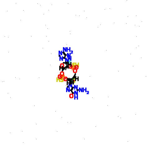 Nc1nc2c(ncn2[C@@H]2S[C@@H]3COP(=O)(S)O[C@@H]4[C@@H](COP(=O)(S)O[C@@H]2[C@H]3F)OC[C@]4(F)n2nnc3c(N)ncnc32)c(=O)[nH]1